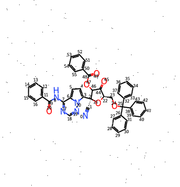 N#C[C@@]1(c2ccc3c(NC(=O)c4ccccc4)ncnn23)O[C@H](COC(c2ccccc2)(c2ccccc2)c2ccccc2)C(=O)C1OC(=O)c1ccccc1